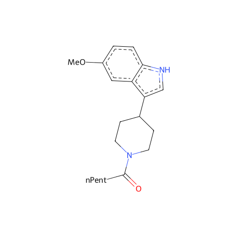 CCCCCC(=O)N1CCC(c2c[nH]c3ccc(OC)cc23)CC1